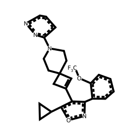 FC(F)(F)Oc1ccccc1-c1noc(C2CC2)c1C1=CC2(CCN(c3cccnn3)CC2)C1